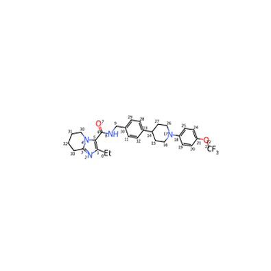 CCc1nc2n(c1C(=O)NCc1ccc(C3CCN(c4ccc(OC(F)(F)F)cc4)CC3)cc1)CCCC2